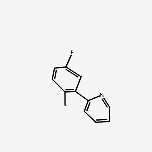 [CH2]c1ccc(F)cc1-c1ccccn1